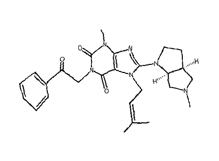 CC(C)=CCn1c(N2CC[C@H]3CN(C)C[C@H]32)nc2c1c(=O)n(CC(=O)c1ccccc1)c(=O)n2C